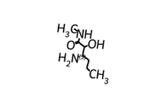 CCC[C@H](N)C(O)C(=O)NC